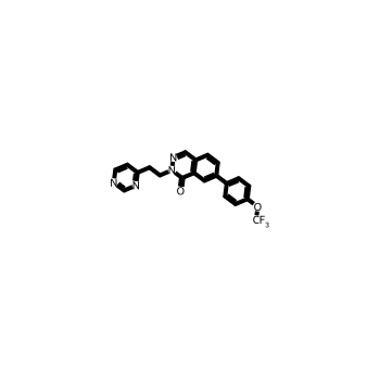 O=c1c2cc(-c3ccc(OC(F)(F)F)cc3)ccc2cnn1CCc1ccncn1